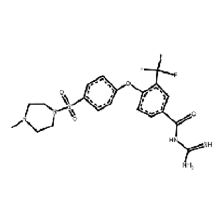 CN1CCN(S(=O)(=O)c2ccc(Oc3ccc(C(=O)NC(=N)N)cc3C(F)(F)F)cc2)CC1